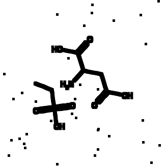 CCS(=O)(=O)O.NC(CC(=O)O)C(=O)O